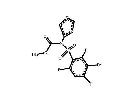 CC(C)(C)OC(=O)N(c1cscn1)S(=O)(=O)c1c(F)cc(F)c(Br)c1F